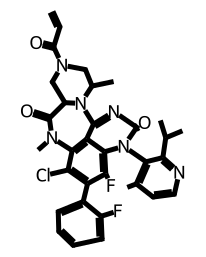 C=CC(=O)N1CC(C)N2c3nc(=O)n(-c4c(C)ccnc4C(C)C)c4c(F)c(-c5ccccc5F)c(Cl)c(c34)N(C)C(=O)C2C1